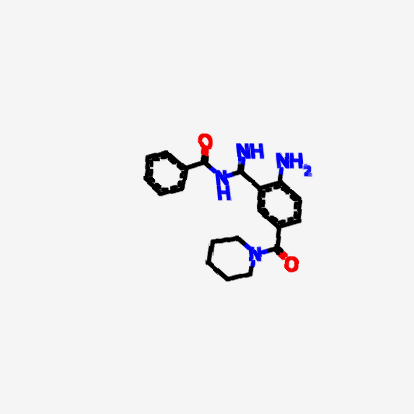 N=C(NC(=O)c1ccccc1)c1cc(C(=O)N2CCCCC2)ccc1N